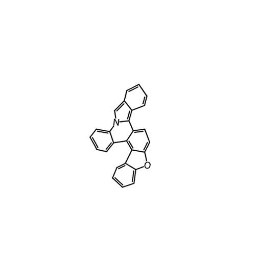 c1ccc2c(c1)cn1c3ccccc3c3c(ccc4oc5ccccc5c43)c21